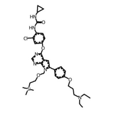 CCN(CC)CCCOc1ccc(-c2cc3c(Oc4ccc(NC(=O)NC5CC5)c(Cl)c4)ncnc3n2COCC[Si](C)(C)C)cc1